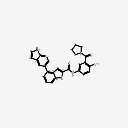 O=C(Nc1ccc(O)c(C(=O)N2CCCC2)c1)c1cc2c(-c3cnc4[nH]ccc4c3)cccc2s1